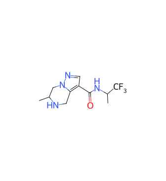 CC1Cn2ncc(C(=O)NC(C)C(F)(F)F)c2CN1